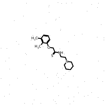 Cc1cccc(OCC(=S)NCCN2CCCCC2)c1C